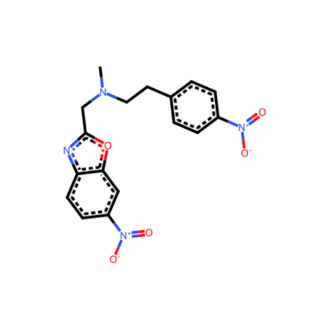 CN(CCc1ccc([N+](=O)[O-])cc1)Cc1nc2ccc([N+](=O)[O-])cc2o1